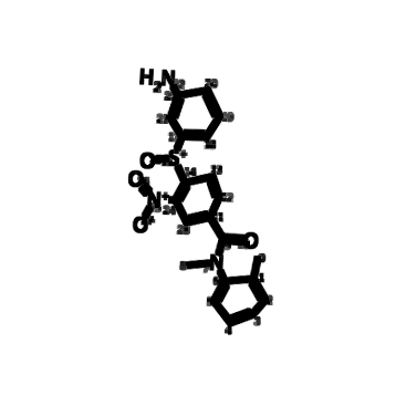 Cc1ccccc1N(C)C(=O)c1ccc([S+]([O-])c2cccc(N)c2)c([N+](=O)[O-])c1